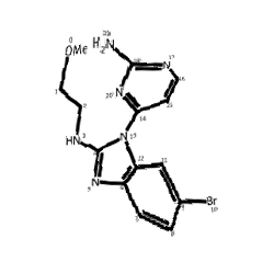 COCCNc1nc2ccc(Br)cc2n1-c1ccnc(N)n1